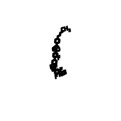 CCCCCC1CCC(C2COC(c3ccc(C4CCC(C(F)(F)Oc5cc(F)c(N=C=S)c(F)c5)CC4)c(F)c3)OC2)CC1